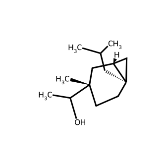 CC(C)C[C@]12CC[C@](C)(C(C)O)C[C@@H]1C2